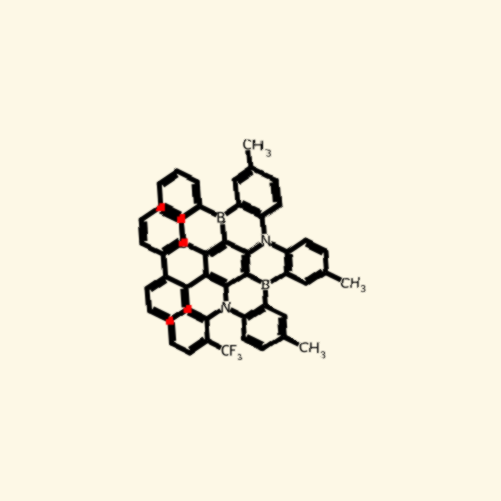 Cc1ccc2c(c1)B1c3ccccc3Sc3c1c1c4c(c3-c3ccccc3-c3ccccc3)N(c3ccccc3C(F)(F)F)c3ccc(C)cc3B4c3cc(C)ccc3N21